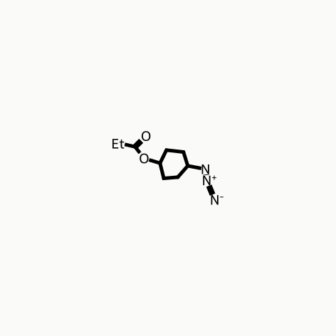 CCC(=O)OC1CCC(N=[N+]=[N-])CC1